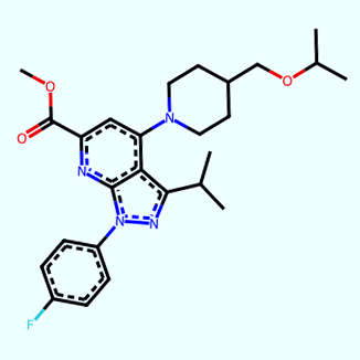 COC(=O)c1cc(N2CCC(COC(C)C)CC2)c2c(C(C)C)nn(-c3ccc(F)cc3)c2n1